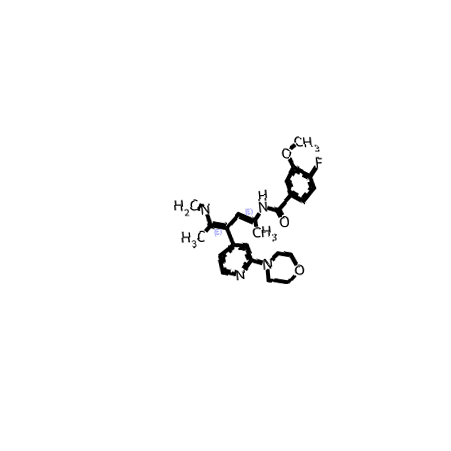 C=N/C(C)=C(\C=C(/C)NC(=O)c1ccc(F)c(OC)c1)c1ccnc(N2CCOCC2)c1